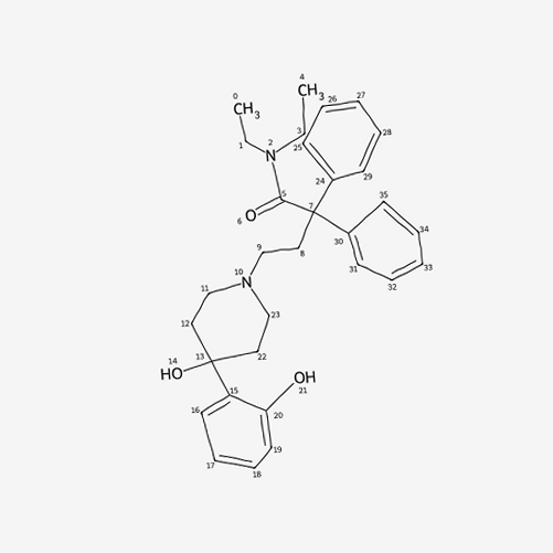 CCN(CC)C(=O)C(CCN1CCC(O)(c2ccccc2O)CC1)(c1ccccc1)c1ccccc1